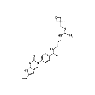 CCc1cc2cn(-c3ccc([C@H](C)NCCCN/C(N)=N\CC4(C)COC4)cc3)c(=O)nc2[nH]1